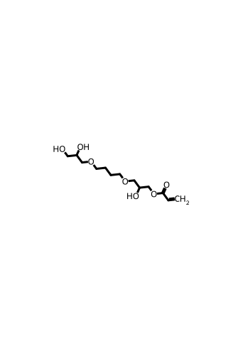 C=CC(=O)OCC(O)COCCCCOCC(O)CO